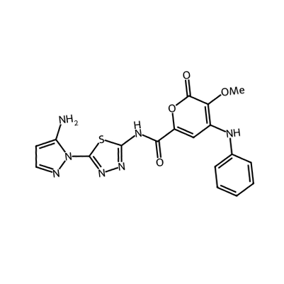 COc1c(Nc2ccccc2)cc(C(=O)Nc2nnc(-n3nccc3N)s2)oc1=O